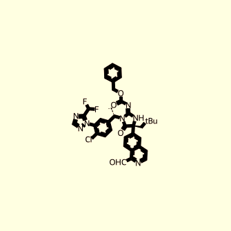 [CH2][C@@H](c1ccc(Cl)c(-n2ncnc2C(F)F)c1)N1C(=O)[C@@](CC(C)(C)C)(c2ccc3c(C=O)nccc3c2)N/C1=N/C(=O)OCc1ccccc1